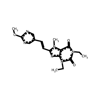 CCn1c(=O)c2c(nc(C=Cc3cnc(OC)nc3)n2C)n(CC)c1=O